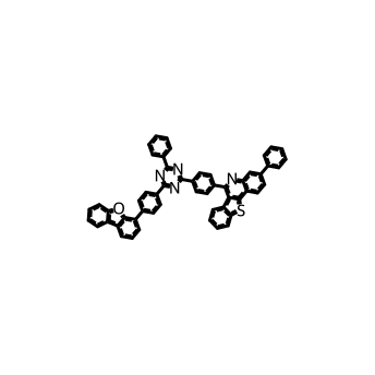 c1ccc(-c2ccc3c(c2)nc(-c2ccc(-c4nc(-c5ccccc5)nc(-c5ccc(-c6cccc7c6oc6ccccc67)cc5)n4)cc2)c2c4ccccc4sc32)cc1